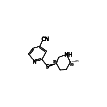 C[C@@H]1CC[C@@H](Sc2cc(C#N)ccn2)CN1